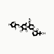 COOc1cnc(-n2cccc(C(C)(C)O)c2=O)cc1-n1c(C)cc(OCc2ncc(F)cc2F)c(Cl)c1=O